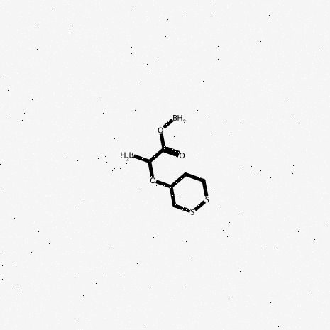 BOC(=O)C(B)OC1CCSSC1